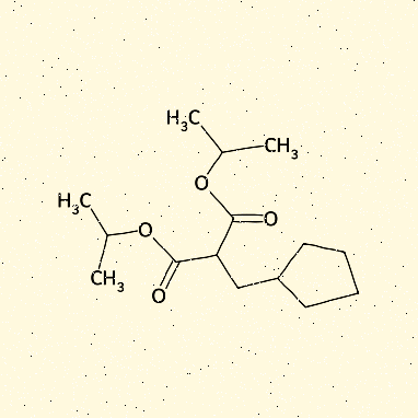 CC(C)OC(=O)C(CC1CCCC1)C(=O)OC(C)C